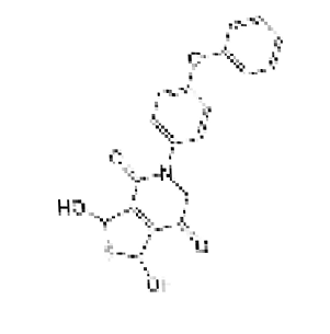 O=C1CN(c2ccc(Oc3ccccc3)cc2)C(=O)C2=C1C(O)SC2O